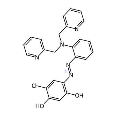 Oc1cc(O)c(/N=N/c2ccccc2N(Cc2ccccn2)Cc2ccccn2)cc1Cl